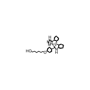 O=C(Nc1ccccc1Sc1ccccc1-c1nnn[nH]1)c1ccc(OCCCCCCO)cc1